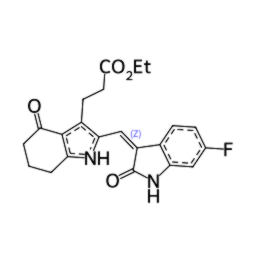 CCOC(=O)CCc1c(/C=C2\C(=O)Nc3cc(F)ccc32)[nH]c2c1C(=O)CCC2